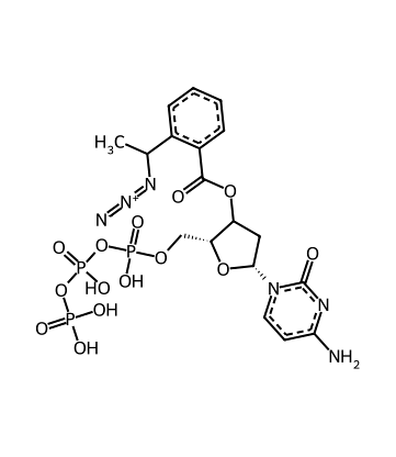 CC(N=[N+]=[N-])c1ccccc1C(=O)OC1C[C@H](n2ccc(N)nc2=O)O[C@@H]1COP(=O)(O)OP(=O)(O)OP(=O)(O)O